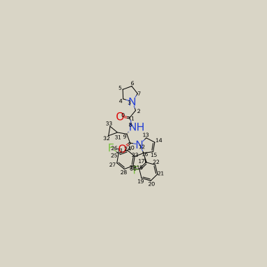 O=C(CN1CCCC1)N[C@H](C(=O)N1CC=C[C@]1(c1ccccc1)c1cc(F)ccc1F)C1CC1